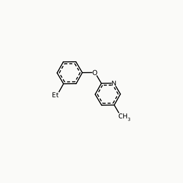 CCc1cccc(Oc2ccc(C)cn2)c1